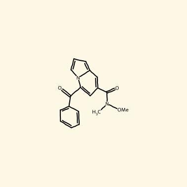 CON(C)C(=O)c1cc(C(=O)c2ccccc2)n2cccc2c1